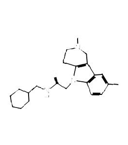 Cc1ccc2c(c1)c1c(n2CC(=O)NCC2CCCCC2)CCN(C)C1